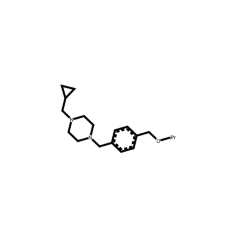 CC(C)OCc1ccc(CN2CCN(CC3CC3)CC2)cc1